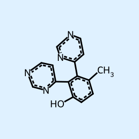 Cc1ccc(O)c(-c2ccncn2)c1-c1ccncn1